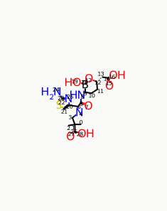 CC(C)(C/N=C(/C(=O)N[C@H]1CC[C@@H](CC(=O)O)OB1O)c1csc(N)n1)C(=O)O